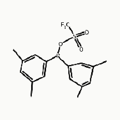 Cc1cc(C)cc([I+](OS(=O)(=O)C(F)(F)F)c2cc(C)cc(C)c2)c1